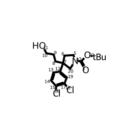 CC(C)(C)OC(=O)N1CCC(CCCO)(c2ccc(Cl)c(Cl)c2)C1